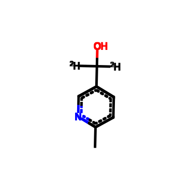 [2H]C([2H])(O)c1ccc(C)nc1